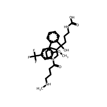 CNCCCC(=O)N1CCCC(C(O)(CCCNC(=O)O)c2ccccc2-c2cc(C(F)(F)F)ccc2OC)C1